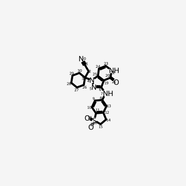 N#CCC1(n2nc(Nc3ccc4c(c3)CCS4(=O)=O)c3c(=O)[nH]ccc32)CCCCC1